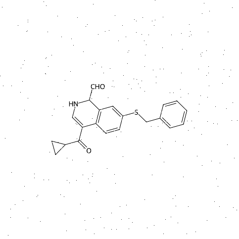 O=CC1NC=C(C(=O)C2CC2)c2ccc(SCc3ccccc3)cc21